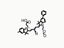 Cc1ccc2c(c1)C(C)(C)C(/C=C/C(C#N)=C/C=C1/N(CCOC=O)c3ccc(-c4ccccc4)cc3C1(C)C)=[N+]2CCC(=O)O